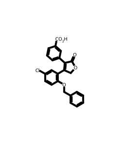 O=C1OCC(c2cc(Cl)ccc2OCc2ccccc2)=C1c1cccc(C(=O)O)c1